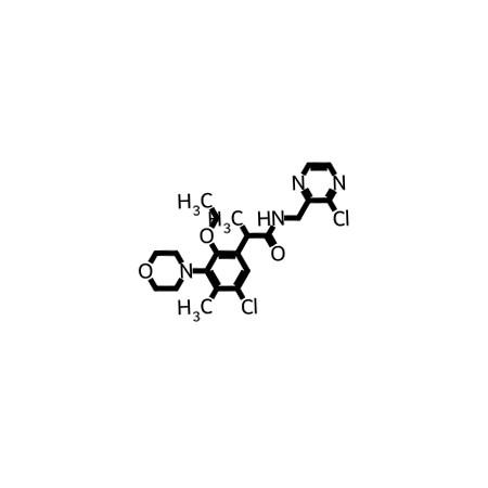 CCOc1c(C(C)C(=O)NCc2nccnc2Cl)cc(Cl)c(C)c1N1CCOCC1